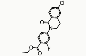 CCOC(=O)c1ccc(N2CCc3cc(Cl)ccc3C2=O)cc1F